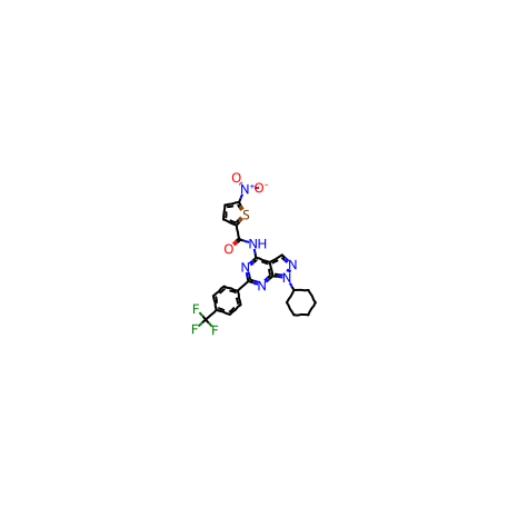 O=C(Nc1nc(-c2ccc(C(F)(F)F)cc2)nc2c1cnn2C1CCCCC1)c1ccc([N+](=O)[O-])s1